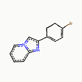 BrC1=CC=C(c2cn3ccccc3n2)CC1